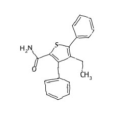 CCc1c(-c2ccccc2)sc(C(N)=O)c1-c1ccccc1